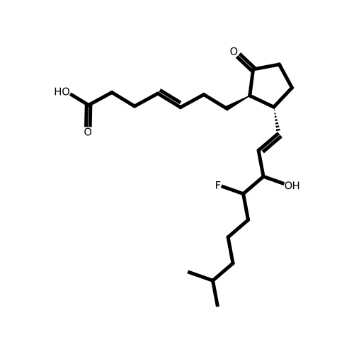 CC(C)CCCC(F)C(O)C=C[C@H]1CCC(=O)[C@@H]1CC/C=C/CCC(=O)O